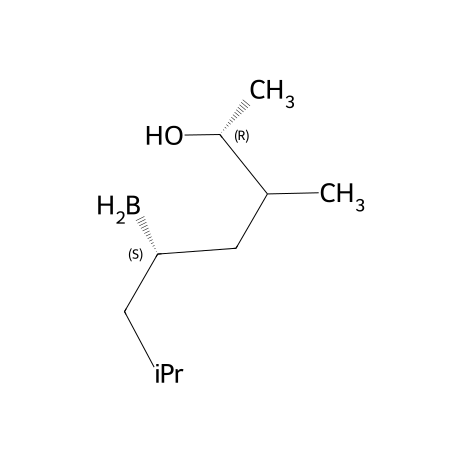 B[C@@H](CC(C)C)CC(C)[C@@H](C)O